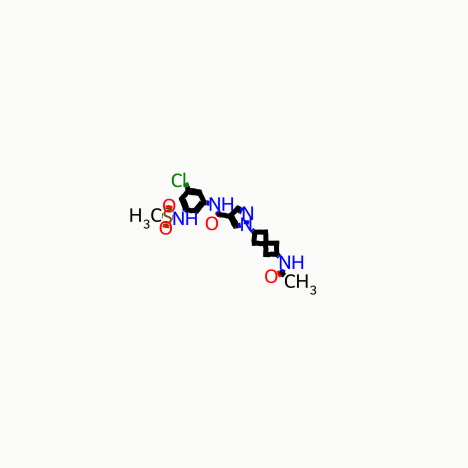 CC(=O)NC1CC2(C1)CC(n1cc(C(=O)Nc3cc(Cl)cc(NS(C)(=O)=O)c3)cn1)C2